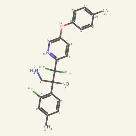 Cc1ccc(C(CN)(N=O)C(F)(F)c2ccc(Oc3ccc(C#N)cc3)cn2)c(F)c1